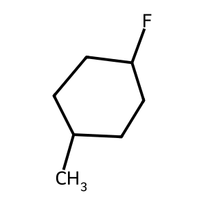 CC1CCC(F)CC1